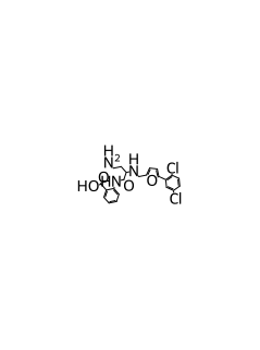 NCCC(NCc1ccc(-c2cc(Cl)ccc2Cl)o1)C(=O)Nc1ccccc1C(=O)O